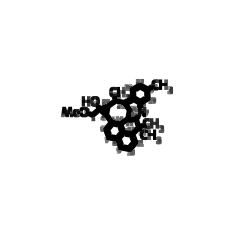 COCC1(O)C2c3ccc4cccc5c4c3C3=C(N=c4cc(C)ccc4=C(C3)C(C)C21)C5(C)C